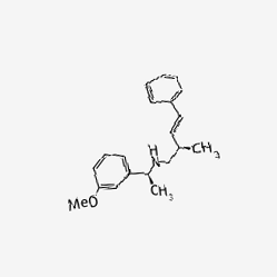 COc1cccc([C@H](C)NC[C@H](C)C=Cc2ccccc2)c1